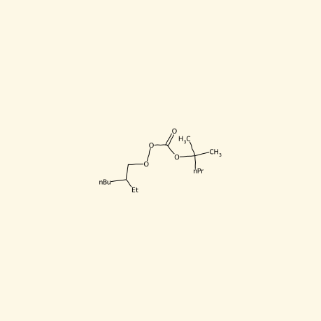 CCCCC(CC)COOC(=O)OC(C)(C)CCC